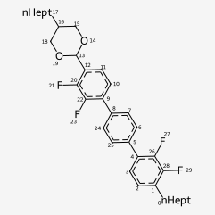 CCCCCCCc1ccc(-c2ccc(-c3ccc(C4OCC(CCCCCCC)CO4)c(F)c3F)cc2)c(F)c1F